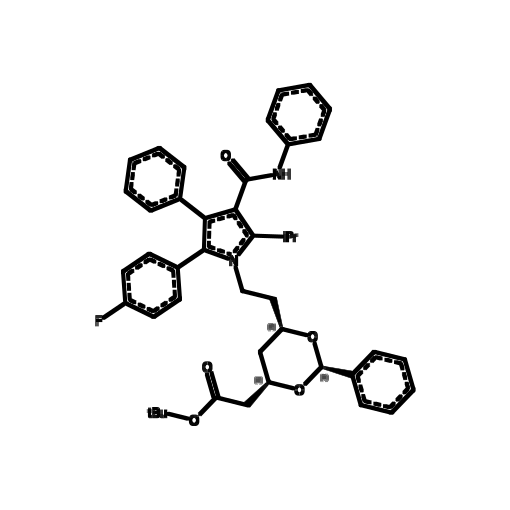 CC(C)c1c(C(=O)Nc2ccccc2)c(-c2ccccc2)c(-c2ccc(F)cc2)n1CC[C@@H]1C[C@H](CC(=O)OC(C)(C)C)O[C@H](c2ccccc2)O1